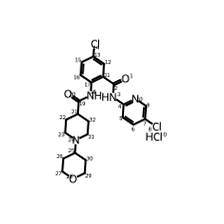 Cl.O=C(Nc1ccc(Cl)cn1)c1cc(Cl)ccc1NC(=O)C1CCN(C2CCOCC2)CC1